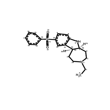 CCN1CC[C@@H]2Nc3ccc(S(=O)(=O)c4ccccc4)cc3[C@@H]2CC1